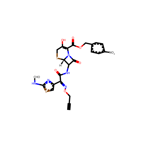 C#CCON=C(C(=O)NC1C(=O)N2C(C(=O)OCc3ccc([N+](=O)[O-])cc3)=C(O)CS[C@@H]12)c1csc(NC=O)n1